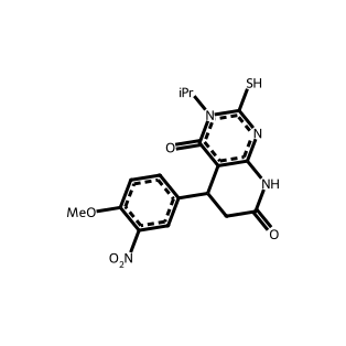 COc1ccc(C2CC(=O)Nc3nc(S)n(C(C)C)c(=O)c32)cc1[N+](=O)[O-]